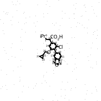 CC(C)CC(C(=O)O)c1cc(Cl)c(-c2ccc3nonc3c2)c(OCC2CC2)c1